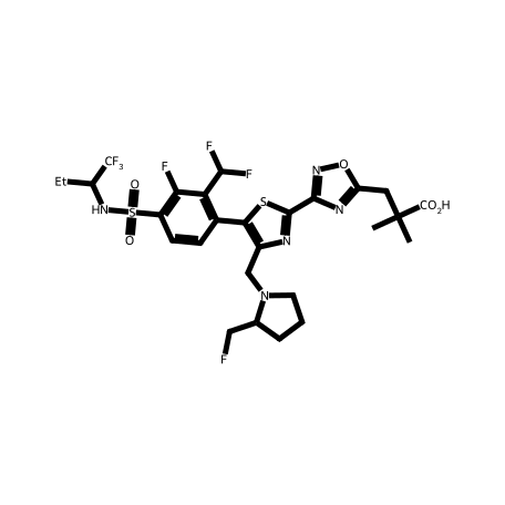 CCC(NS(=O)(=O)c1ccc(-c2sc(-c3noc(CC(C)(C)C(=O)O)n3)nc2CN2CCCC2CF)c(C(F)F)c1F)C(F)(F)F